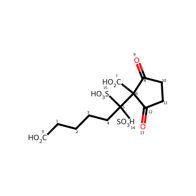 O=C(O)CCCCC(C1(C(=O)O)C(=O)CCC1=O)(S(=O)(=O)O)S(=O)(=O)O